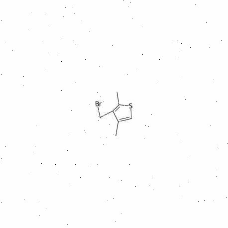 Cc1csc(C)c1CBr